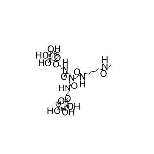 CCNC(=O)CCCCCNC(=O)CN(CC(=O)NCCOC1O[C@@H](C)[C@@H](O)[C@@H](O)[C@@H]1O)CC(=O)NCCO[C@@H]1O[C@@H](C)[C@@H](O)[C@@H](O)[C@@H]1O